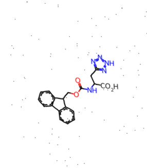 O=C(NC(Cc1nn[nH]n1)C(=O)O)OCC1c2ccccc2-c2ccccc21